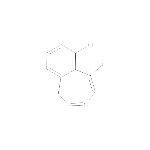 Clc1cccc2c1C(I)=CN=CC2